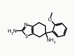 COc1ccccc1C1(N)CCc2nc(N)sc2C1